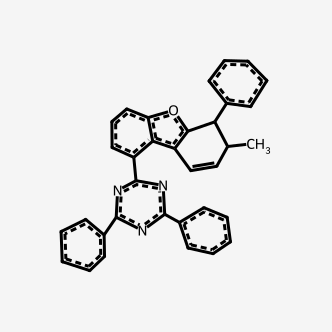 CC1C=Cc2c(oc3cccc(-c4nc(-c5ccccc5)nc(-c5ccccc5)n4)c23)C1c1ccccc1